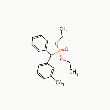 CCOP(=O)(OCC)C(c1ccccc1)c1cccc(C)c1